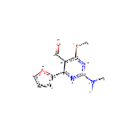 CSc1nc(N(C)C)nc(-c2ccco2)c1C=O